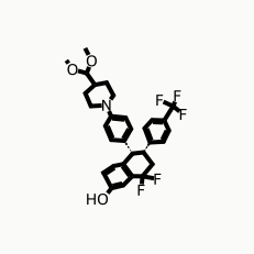 COC(OC)C1CCN(c2ccc([C@H]3c4ccc(O)cc4C(F)(F)C[C@H]3c3ccc(C(F)(F)F)cc3)cc2)CC1